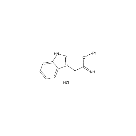 CC(C)OC(=N)Cc1c[nH]c2ccccc12.Cl